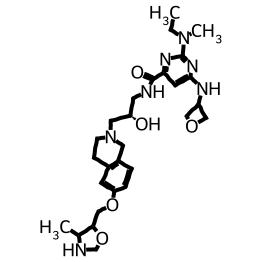 CCN(C)c1nc(NC2COC2)cc(C(=O)NC[C@H](O)CN2CCc3cc(OCC4OCNC4C)ccc3C2)n1